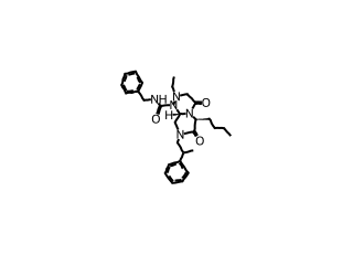 CCCC[C@H]1C(=O)N(CC(C)c2ccccc2)C[C@H]2N1C(=O)CN(CC)N2C(=O)NCc1ccccc1